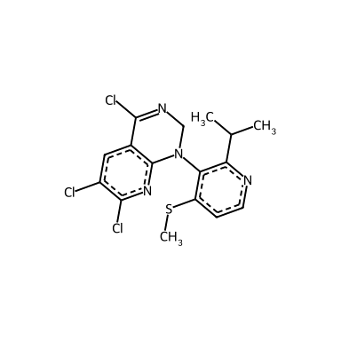 CSc1ccnc(C(C)C)c1N1CN=C(Cl)c2cc(Cl)c(Cl)nc21